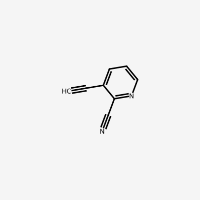 C#Cc1cccnc1C#N